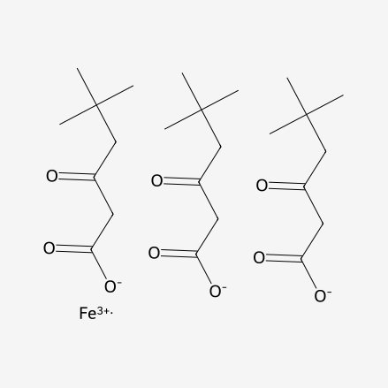 CC(C)(C)CC(=O)CC(=O)[O-].CC(C)(C)CC(=O)CC(=O)[O-].CC(C)(C)CC(=O)CC(=O)[O-].[Fe+3]